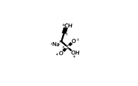 C#CCS(=O)(=O)O.[Na]